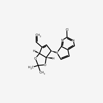 C=CC1=C[C@@H](n2ccc3cnc(Cl)nc32)[C@@H]2OC(C)(C)O[C@H]12